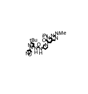 CNc1ncc2cc(N3CCC(NC(=O)Nc4cc(C(C)(C)C)nn4-c4cnoc4)C3)c(=O)n(C(C)C)c2n1